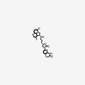 O=C1CSc2ccc(N3C[C@@H](CCCN[C@H]4Cn5c(=O)ccc6ncc(F)c4c65)OC3=O)nc2N1